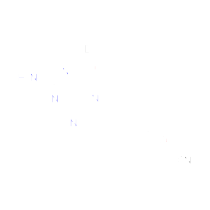 CCOc1nc(N)nc2ncc(-c3ccc(OCC#N)cc3)nc12